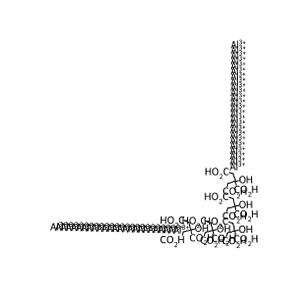 O=C(O)CC(O)(CC(=O)O)C(=O)O.O=C(O)CC(O)(CC(=O)O)C(=O)O.O=C(O)CC(O)(CC(=O)O)C(=O)O.O=C(O)CC(O)(CC(=O)O)C(=O)O.O=C(O)CC(O)(CC(=O)O)C(=O)O.[Al+3].[Al+3].[Al+3].[Al+3].[Al+3].[Al+3].[Al+3].[Al+3].[Al+3].[Al+3].[Al+3].[Al+3].[Al+3].[Al+3].[Al+3].[Al+3].[Al+3].[Al+3].[Al+3].[Al+3].[Al+3].[Al+3].[Al+3].[Al+3].[Al+3].[Al+3].[Al+3].[Al+3].[Al+3].[Al+3].[Al+3].[Al+3].[Al+3].[Al+3].[Al+3].[Al+3].[Al+3].[Al+3].[Al+3].[Al+3].[Al+3].[Al+3].[Al+3].[Al+3].[Al+3].[Al+3].[Al+3].[Al+3].[Al+3]